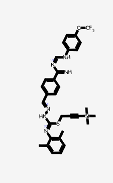 Cc1cccc(C)c1/N=C(/N/N=C/c1ccc(C(=N)/N=C\Nc2ccc(OC(F)(F)F)cc2)cc1)SCC#C[Si](C)(C)C